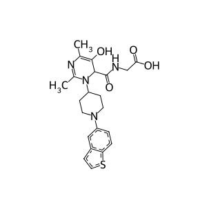 CC1=NC(C)=C(O)C(C(=O)NCC(=O)O)N1C1CCN(c2ccc3sccc3c2)CC1